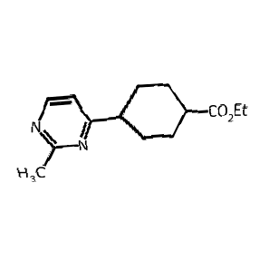 CCOC(=O)C1CCC(c2ccnc(C)n2)CC1